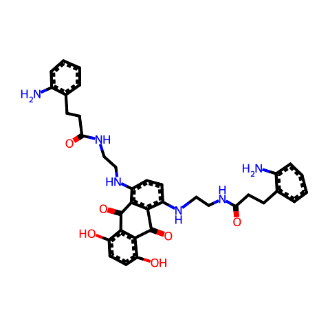 Nc1ccccc1CCC(=O)NCCNc1ccc(NCCNC(=O)CCc2ccccc2N)c2c1C(=O)c1c(O)ccc(O)c1C2=O